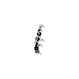 CCOC(=O)CN1CCC(Oc2ncnc(OC(=O)[C@@H](N)Cc3ccc(S(C)(=O)=O)cc3F)c2C)CC1